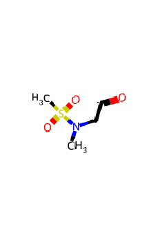 CN(C[C]=O)S(C)(=O)=O